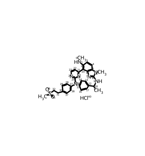 CNc1ccc2c(nc(NC(C)c3ccccc3)n2C)c1-c1ccnc(Nc2ccc(CCS(C)(=O)=O)cc2)n1.Cl